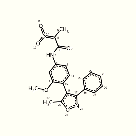 COc1cc(NC(=O)C(C)=S(=O)=O)ccc1-c1c(-c2ccccc2)noc1C